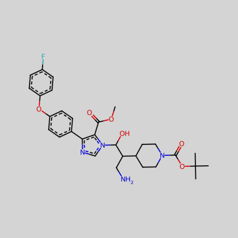 COC(=O)c1c(-c2ccc(Oc3ccc(F)cc3)cc2)ncn1C(O)C(CN)C1CCN(C(=O)OC(C)(C)C)CC1